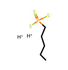 CCCCCP(=S)([S-])[S-].[H+].[H+]